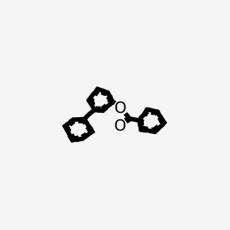 O=C(Oc1cccc(-c2ccccc2)c1)c1ccccc1